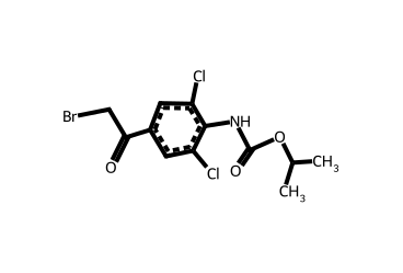 CC(C)OC(=O)Nc1c(Cl)cc(C(=O)CBr)cc1Cl